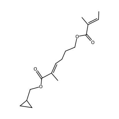 C/C=C(\C)C(=O)OCCC/C=C(\C)C(=O)OCC1CC1